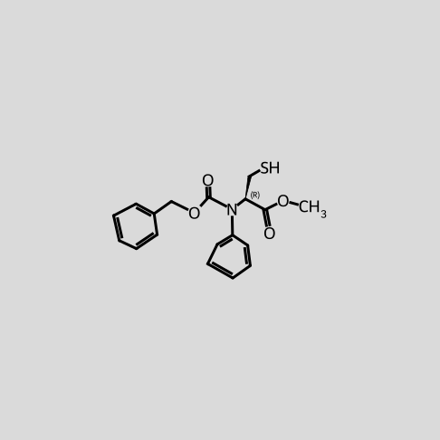 COC(=O)[C@H](CS)N(C(=O)OCc1ccccc1)c1ccccc1